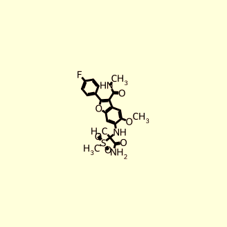 CNC(=O)c1c(-c2ccc(F)cc2)oc2cc(NC(C)(C(N)=O)S(C)(=O)=O)c(OC)cc12